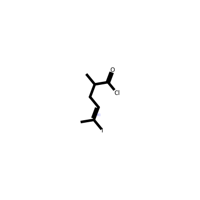 C/C(I)=C\CC(C)C(=O)Cl